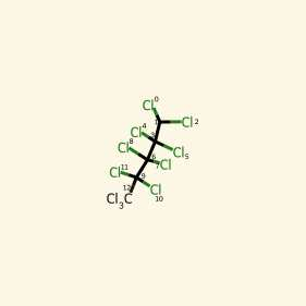 ClC(Cl)C(Cl)(Cl)C(Cl)(Cl)C(Cl)(Cl)C(Cl)(Cl)Cl